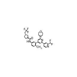 Cc1ccc(NC(=O)N2CC[C@@H](CC(F)(F)F)C2)cc1-c1cc(-c2ccnc(C(F)F)c2)nc(N2CCOCC2)c1